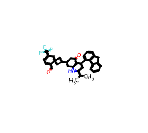 CC(C)C1=CC(c2cccc3c2-c2ccccc2C3)C2=C(CC(C3CC4(CC(C(F)(F)F)=CC=C4C=O)C3)CC2=O)N1